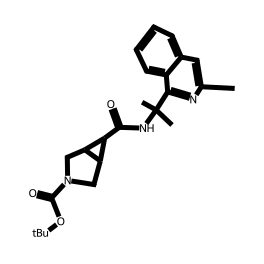 Cc1cc2ccccc2c(C(C)(C)NC(=O)C2C3CN(C(=O)OC(C)(C)C)CC32)n1